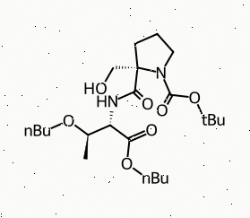 CCCCOC(=O)[C@@H](NC(=O)[C@@]1(CO)CCCN1C(=O)OC(C)(C)C)[C@@H](C)OCCCC